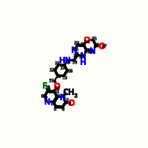 Cn1c(=O)ccc2ncc(F)c(OC[C@H]3CC[C@H](NCC4=NC=C5OCC(=O)N=C5N4)CC3)c21